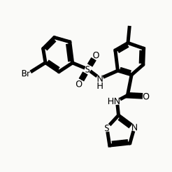 Cc1ccc(C(=O)Nc2nccs2)c(NS(=O)(=O)c2cccc(Br)c2)c1